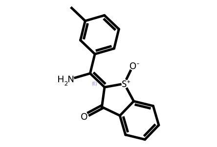 Cc1cccc(/C(N)=C2/C(=O)c3ccccc3[S+]2[O-])c1